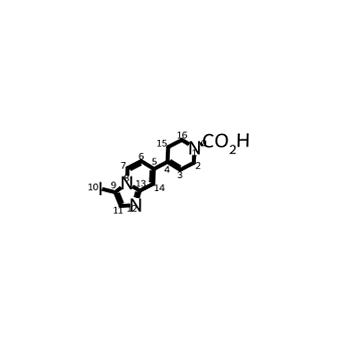 O=C(O)N1CC=C(c2ccn3c(I)cnc3c2)CC1